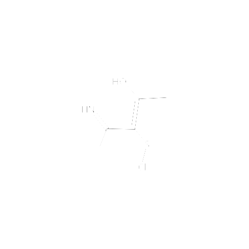 CC(=N)/C(SCl)=C(/C)O